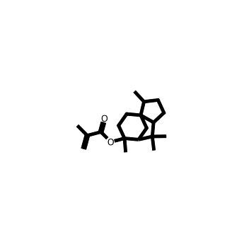 C=C(C)C(=O)OC1(C)CCC23CC1C(C)(C)C2CCC3C